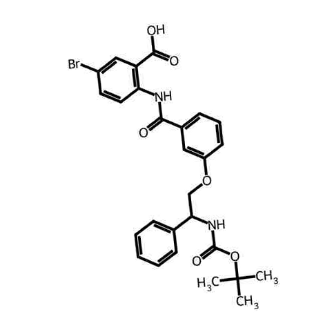 CC(C)(C)OC(=O)NC(COc1cccc(C(=O)Nc2ccc(Br)cc2C(=O)O)c1)c1ccccc1